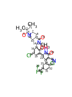 CCC(C)C(=O)N1CCC(C(=O)N(C)Cc2cc(Cl)cc(-c3cc(-c4cc(C(F)(F)F)ccc4Cl)c(C#N)c(=O)[nH]3)c2O)CC1